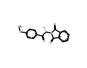 CCCCOc1ccc(C(=O)[C@H](C)N2C(=O)c3ccccc3C2=O)cc1